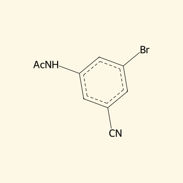 CC(=O)Nc1cc(Br)cc(C#N)c1